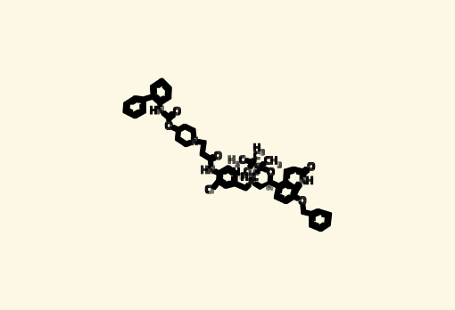 CC(C)(C)[Si](C)(C)O[C@H](CNCc1ccc(NC(=O)CCN2CCC(OC(=O)Nc3ccccc3-c3ccccc3)CC2)c(Cl)c1)c1ccc(OCc2ccccc2)c2[nH]c(=O)ccc12